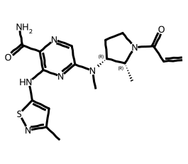 C=CC(=O)N1CC[C@@H](N(C)c2cnc(C(N)=O)c(Nc3cc(C)ns3)n2)[C@H]1C